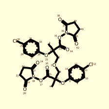 CC(COCC(C)(Oc1ccc(Cl)cc1)C(=O)ON1C(=O)CCC1=O)(Oc1ccc(Cl)cc1)C(=O)ON1C(=O)CCC1=O